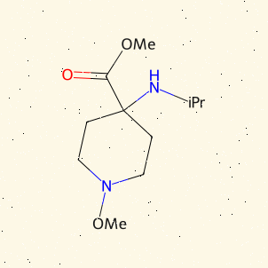 COC(=O)C1(NC(C)C)CCN(OC)CC1